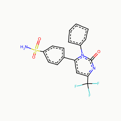 NS(=O)(=O)c1ccc(-c2cc(C(F)(F)F)nc(=O)n2-c2ccccc2)cc1